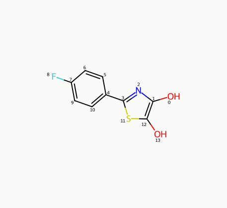 Oc1nc(-c2ccc(F)cc2)sc1O